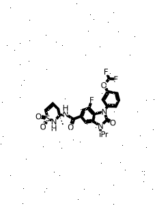 CC(C)n1c(=O)n(-c2cccc(OC(F)F)c2)c2c(F)cc(C(=O)N[C@]3(C)CC=CS(=O)(=O)N3)cc21